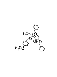 C=C[C@H](OCc1ccccc1)[C@@H](O)[C@H](OCc1ccccc1)[C@@H](CO)OCc1ccc(OC)cc1